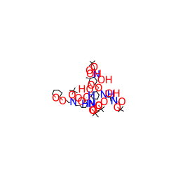 CN(C(=O)OC(C)(C)C)[C@@H]1[C@@H](O)[C@@H](O[C@@H]2[C@@H](O)[C@H](O[C@H]3O[C@H](CN(CCOC4CCCCO4)C(=O)OC(C)(C)C)CC[C@H]3NC(=O)OC(C)(C)C)[C@@H](NC(=O)OC(C)(C)C)C[C@H]2NC(=O)C2(O)CN(C(=O)OC(C)(C)C)C2)OC[C@]1(C)O